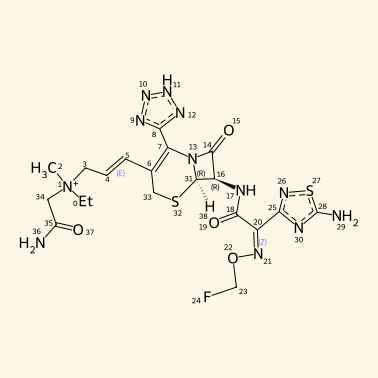 CC[N+](C)(C/C=C/C1=C(c2nn[nH]n2)N2C(=O)[C@@H](NC(=O)/C(=N\OCF)c3nsc(N)n3)[C@H]2SC1)CC(N)=O